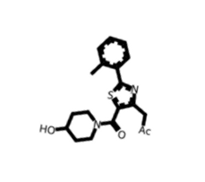 CC(=O)Cc1nc(-c2ccccc2C)sc1C(=O)N1CCC(O)CC1